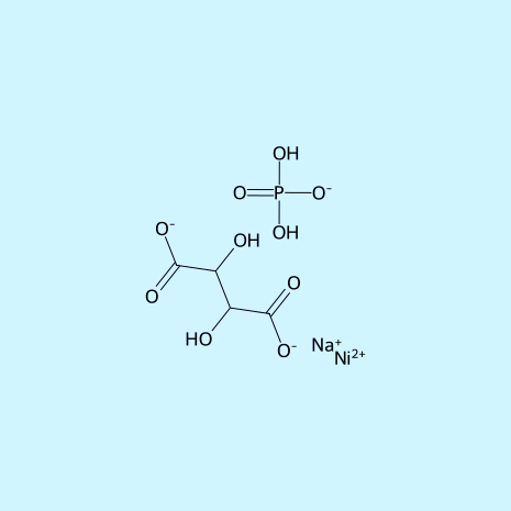 O=C([O-])C(O)C(O)C(=O)[O-].O=P([O-])(O)O.[Na+].[Ni+2]